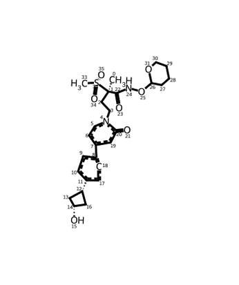 C[C@@](CCn1ccc(-c2ccc([C@H]3C[C@@H](O)C3)cc2)cc1=O)(C(=O)NOC1CCCCO1)S(C)(=O)=O